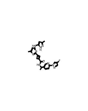 Cc1cc(Nc2cc(C)nc(C34CC(C(=O)NC(C)c5ccc(-n6cc(F)cn6)nc5)(C3)C4)n2)[nH]n1